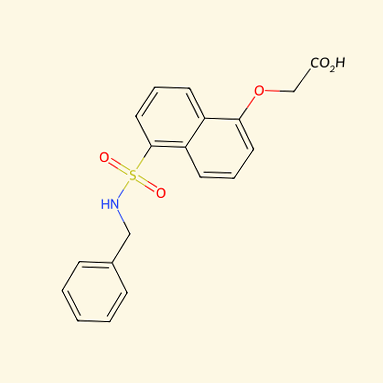 O=C(O)COc1cccc2c(S(=O)(=O)NCc3ccccc3)cccc12